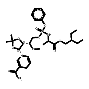 CCC(CC)COC(=O)C(C)NP(=O)(OCC(OC)[C@H]1OC(C)(C)O[C@H]1N1C=CCC(C(N)=O)=C1)Oc1ccccc1